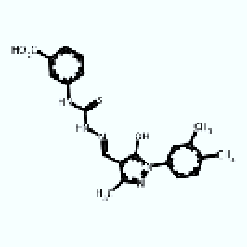 Cc1ccc(-n2nc(C)c(C=NNC(=S)Nc3cccc(C(=O)O)c3)c2O)cc1C